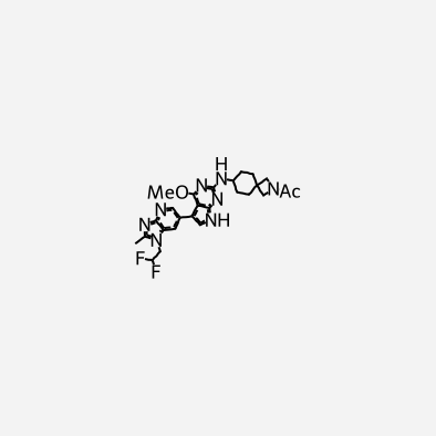 COc1nc(NC2CCC3(CC2)CN(C(C)=O)C3)nc2[nH]cc(-c3cnc4nc(C)n(CC(F)F)c4c3)c12